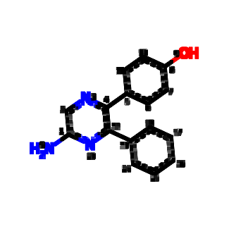 Nc1cnc(-c2ccc(O)cc2)c(-c2ccccc2)n1